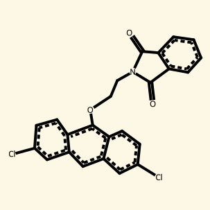 O=C1c2ccccc2C(=O)N1CCOc1c2ccc(Cl)cc2cc2cc(Cl)ccc12